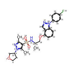 Cc1nn([C@H]2CCOC2)c(C)c1S(=O)(=O)N[C@@H](C)COc1cccc2c1cnn2-c1ccc(F)cc1